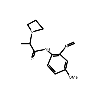 C=Nc1cc(OC)ccc1NC(=O)C(C)N1CCC1